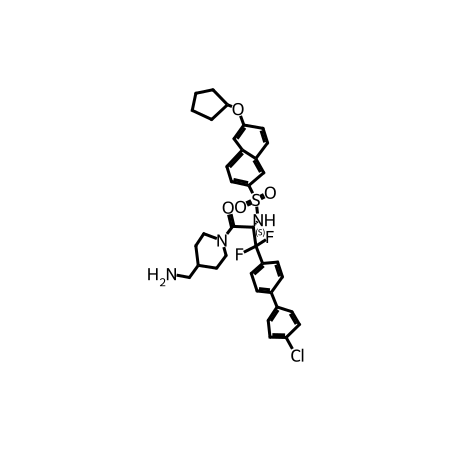 NCC1CCN(C(=O)[C@H](NS(=O)(=O)c2ccc3cc(OC4CCCC4)ccc3c2)C(F)(F)c2ccc(-c3ccc(Cl)cc3)cc2)CC1